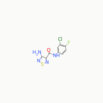 Nc1nsnc1C(=O)Nc1ccc(F)c(Cl)c1